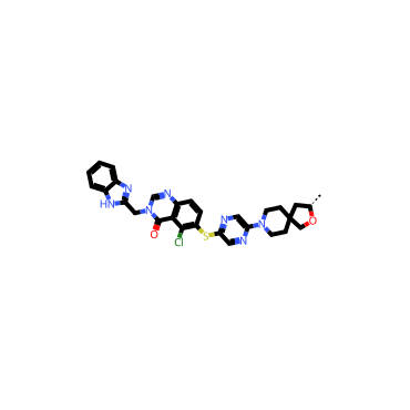 C[C@H]1CC2(CCN(c3cnc(Sc4ccc5ncn(Cc6nc7ccccc7[nH]6)c(=O)c5c4Cl)cn3)CC2)CO1